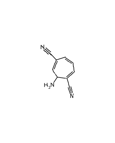 N#CC1=CC(N)C(C#N)=CC=C1